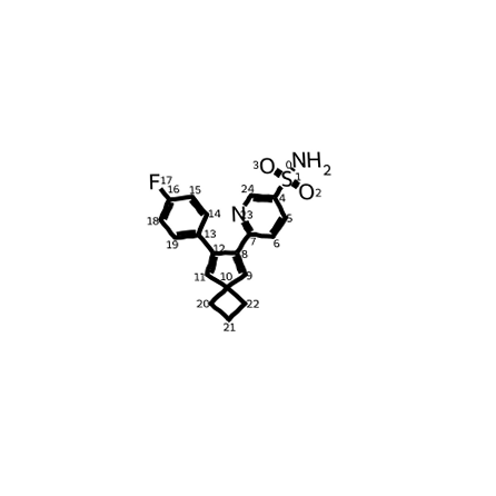 NS(=O)(=O)c1ccc(C2=CC3(C=C2c2ccc(F)cc2)CCC3)nc1